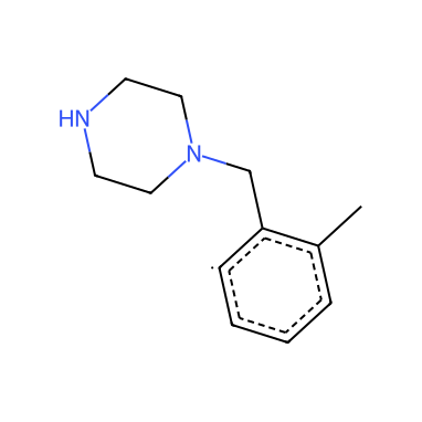 Cc1ccc[c]c1CN1CCNCC1